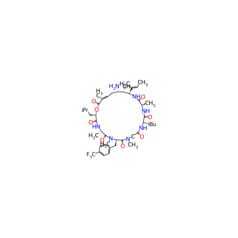 C/C=C(\C)[C@H]1NC(=O)[C@@H](C)NC(=O)C(C(C)CC)NC(=O)CN(C)C(=O)[C@@H](Cc2ccc(C(F)(F)F)cc2)N(C)C(=O)[C@H](C)NC(=O)[C@@H](CC(C)C)OC(=O)/C(C)=C/C[C@H](N)[C@@H]1C